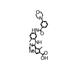 Cc1ccc(NC(=O)c2cccc(N3CCOCC3)c2)cc1Nc1ncnn2cc(C(=O)O)c(C)c12